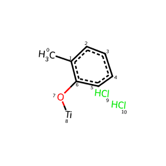 Cc1ccccc1[O][Ti].Cl.Cl